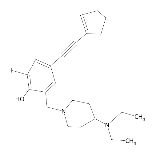 CCN(CC)C1CCN(Cc2cc(C#CC3=CCCC3)cc(I)c2O)CC1